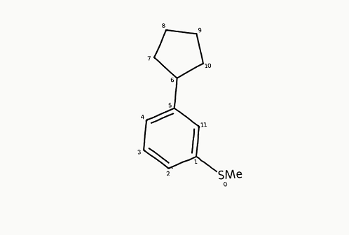 CSc1[c]ccc(C2CCCC2)c1